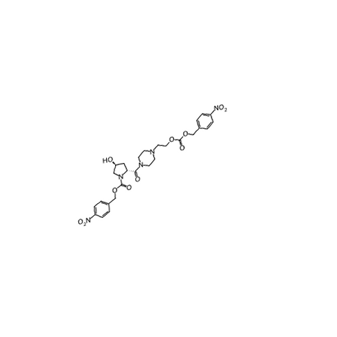 O=C(OCCN1CCN(C(=O)[C@H]2C[C@H](O)CN2C(=O)OCc2ccc([N+](=O)[O-])cc2)CC1)OCc1ccc([N+](=O)[O-])cc1